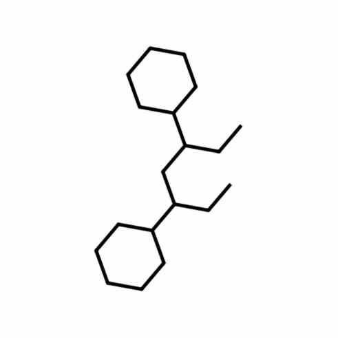 CCC(CC(CC)C1CCCCC1)C1CCCCC1